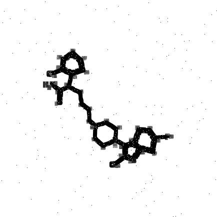 NC(=O)N(CCCCN1CCN(c2c(Cl)sc3cc(F)ccc23)CC1)c1ccccc1Cl